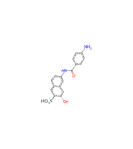 Nc1ccc(C(=O)Nc2ccc3cc(S(=O)(=O)O)c(O)cc3c2)cc1